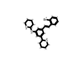 Brc1ccc[c]c1C=Cc1cc(OC2CCCCO2)cc(C2CCCCO2)c1